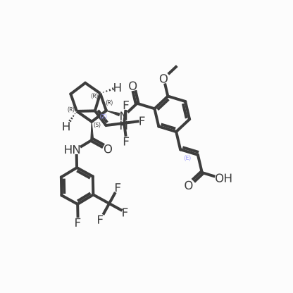 COc1ccc(/C=C/C(=O)O)cc1C(=O)N[C@H]1[C@@H](C(=O)Nc2ccc(F)c(C(F)(F)F)c2)[C@H]2CC[C@@H]1/C2=C\C(F)(F)F